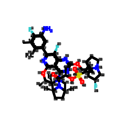 Cc1c(F)c(N)cc(-c2nc3c4c(nc(OC[C@@]56CCCN5C[C@H](F)C6)nc4c2F)N2C[C@H]4CC[C@@H]([C@H]2[C@H](C)O3)N4C(=O)[C@@H](C)OS(=O)(=O)C2CC2)c1C(F)(F)F